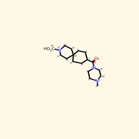 CN1CCN(C(=O)C2CCC3(CC2)CCN(C(=O)O)CC3)CC1